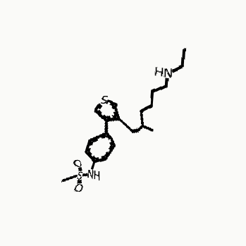 CCNCCCCC(C)Cc1cscc1-c1ccc(NS(C)(=O)=O)cc1